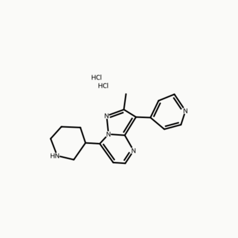 Cc1nn2c(C3CCCNC3)ccnc2c1-c1ccncc1.Cl.Cl